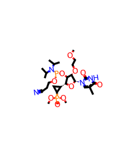 COCCO[C@H]1C(OP(OCCC#N)N(C(C)C)C(C)C)[C@@H](C2CC2P(=O)(OC)OC)O[C@H]1n1cc(C)c(=O)[nH]c1=O